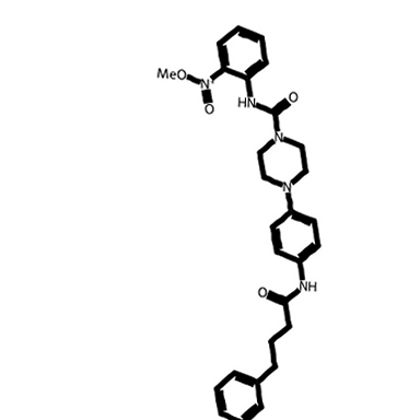 CO[N+](=O)c1ccccc1NC(=O)N1CCN(c2ccc(NC(=O)CCCc3ccccc3)cc2)CC1